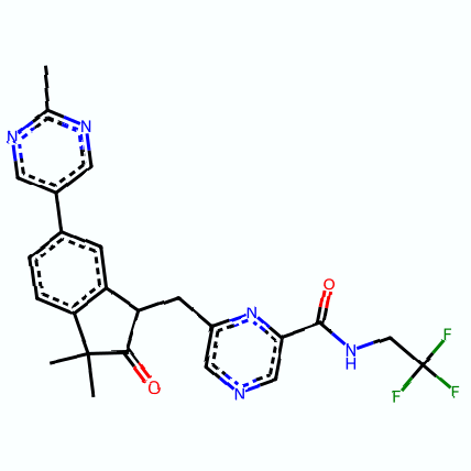 Cc1ncc(-c2ccc3c(c2)C(Cc2cncc(C(=O)NCC(F)(F)F)n2)C(=O)C3(C)C)cn1